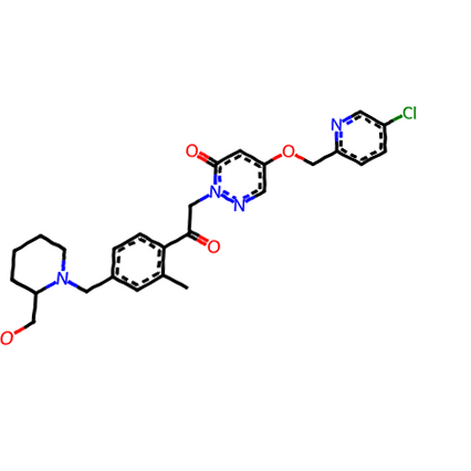 Cc1cc(CN2CCCCC2CO)ccc1C(=O)Cn1ncc(OCc2ccc(Cl)cn2)cc1=O